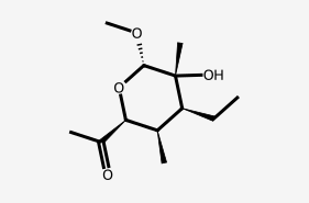 CC[C@H]1[C@@H](C)[C@@H](C(C)=O)O[C@H](OC)[C@]1(C)O